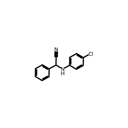 N#CC(Nc1ccc(Cl)cc1)c1ccccc1